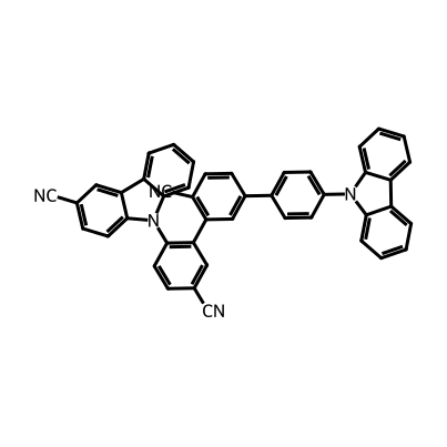 N#Cc1ccc(-n2c3ccccc3c3cc(C#N)ccc32)c(-c2cc(-c3ccc(-n4c5ccccc5c5ccccc54)cc3)ccc2C#N)c1